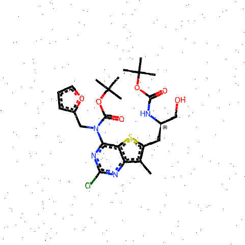 Cc1c(C[C@H](CO)NC(=O)OC(C)(C)C)sc2c(N(Cc3ccco3)C(=O)OC(C)(C)C)nc(Cl)nc12